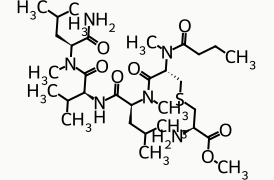 CCCC(=O)N(C)[C@H](CSC[C@H](N)C(=O)OC)C(=O)N(C)[C@@H](CC(C)C)C(=O)N[C@H](C(=O)N(C)[C@@H](CC(C)C)C(N)=O)C(C)C